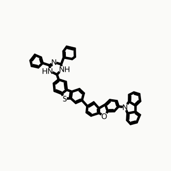 C1=CCCC(C2N=C(c3ccccc3)NC(c3ccc4sc5cc(-c6ccc7oc8cc(-n9c%10ccccc%10c%10ccccc%109)ccc8c7c6)ccc5c4c3)N2)=C1